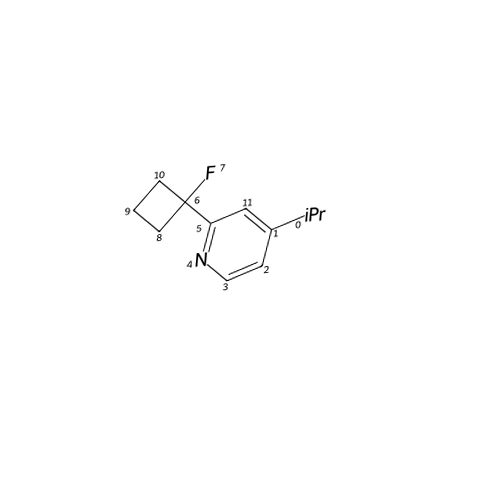 CC(C)c1ccnc(C2(F)CCC2)c1